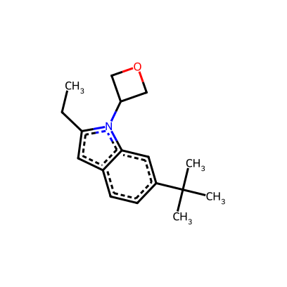 CCc1cc2ccc(C(C)(C)C)cc2n1C1COC1